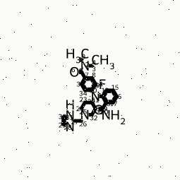 CCN(CC)C(=O)c1ccc(N(c2c(F)cccc2C(N)=O)C2CCN(Cc3ncc[nH]3)CC2)cc1